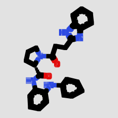 O=C(Nc1ccccc1Nc1ccccc1)[C@@H]1CCCN1C(=O)CCc1nc2ccccc2[nH]1